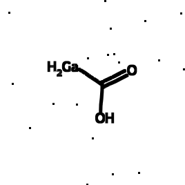 O=[C](O)[GaH2]